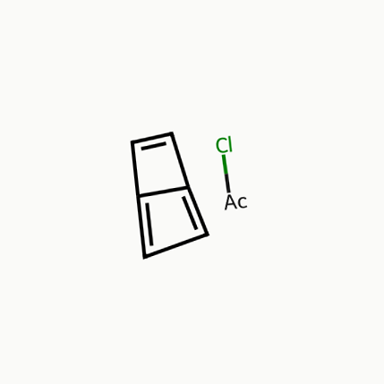 CC(=O)Cl.c1cc2ccc1-2